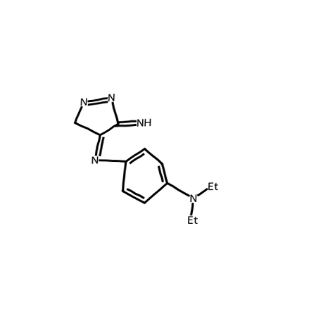 CCN(CC)c1ccc(N=C2CN=NC2=N)cc1